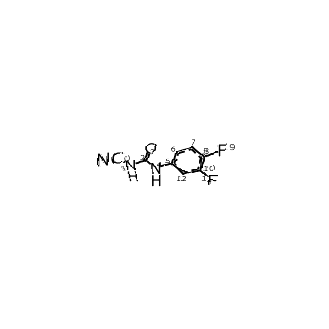 N#CNC(=O)Nc1ccc(F)c(F)c1